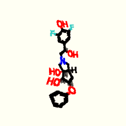 Oc1c(F)cc([C@@H](O)CN2C[C@H]3C[C@H](Oc4ccccc4)[C@H](O)[C@@]3(O)C2)cc1F